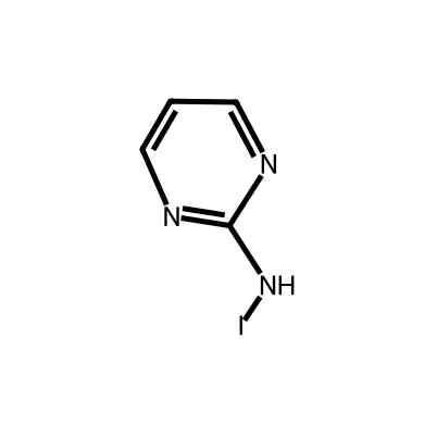 INc1ncccn1